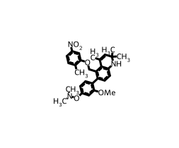 COc1cc(ON(C)C)ccc1-c1ccc2c(c1COc1cc([N+](=O)[O-])ccc1C)C(C)=CC(C)(C)N2